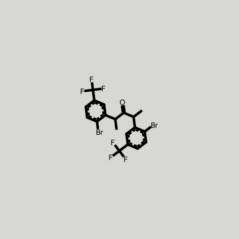 CC(C(=O)C(C)c1cc(C(F)(F)F)ccc1Br)c1cc(C(F)(F)F)ccc1Br